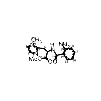 COC(=O)C(Cc1nccn1C)NC(=O)c1ccccc1N